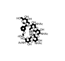 CCCCCCCCCCCOc1cccc(C(=O)N2COC(CO)[C@@H](O)C(O)C2CO[C@@H]2C(CO)OC(OC3C(CO)O[C@@H](O[C@@H]4C(CO)O[C@@H](OC5C(CO)OC(O)[C@@H](NC(C)=O)[C@H]5O)C(NC(C)=O)C4O)[C@@H](NC(C)=O)[C@H]3O)C(NC(C)=O)C2O)c1